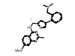 COc1ccc2c(N[C@H](C)c3cc(-c4ccccc4CN(C)C)cs3)nc(C)nc2c1